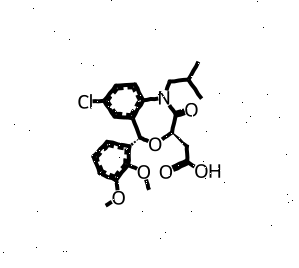 COc1cccc([C@H]2O[C@H](CC(=O)O)C(=O)N(CC(C)C)c3ccc(Cl)cc32)c1OC